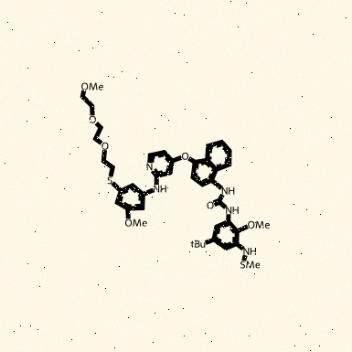 COCCOCCOCCSc1cc(Nc2cc(Oc3ccc(NC(=O)Nc4cc(C(C)(C)C)cc(NSC)c4OC)c4ccccc34)ccn2)cc(OC)c1